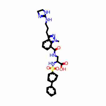 Cn1nc(CCCNC2=NCCN2)c2cccc(C(=O)NCC(NS(=O)(=O)c3ccc(-c4ccccc4)cc3)C(=O)O)c21